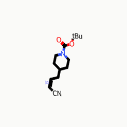 CC(C)(C)OC(=O)N1CCC(C/C=C\C#N)CC1